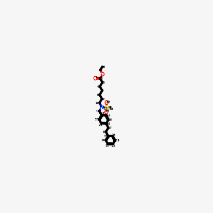 CCOC(=O)CCCCCCN(Cc1ccc(CCc2ccccc2)cc1)S(C)(=O)=O